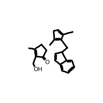 CC1=C(CO)C(=O)CC1.CC1=CCC(C)=C1CC1C=Cc2ccccc21